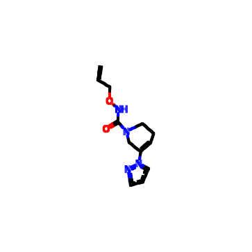 C=CCONC(=O)N1CCC=C(n2cccn2)C1